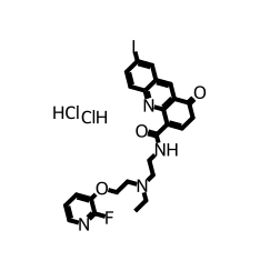 CCN(CCNC(=O)C1=CCC(=O)c2cc3cc(I)ccc3nc21)CCOc1cccnc1F.Cl.Cl